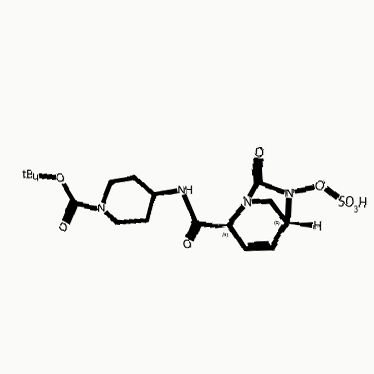 CC(C)(C)OC(=O)N1CCC(NC(=O)[C@@H]2C=C[C@@H]3CN2C(=O)N3OS(=O)(=O)O)CC1